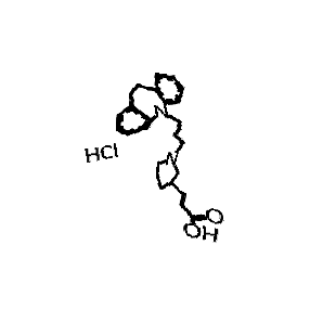 Cl.O=C(O)CCC1CCCN(CCCN2c3ccccc3CCc3ccccc32)C1